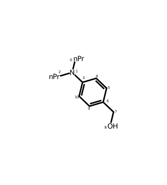 CCCN(CCC)c1ccc(CO)cc1